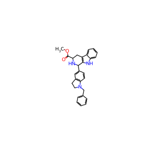 COC(=O)C1Cc2c([nH]c3ccccc23)C(c2ccc3c(c2)CCN3Cc2ccccc2)N1